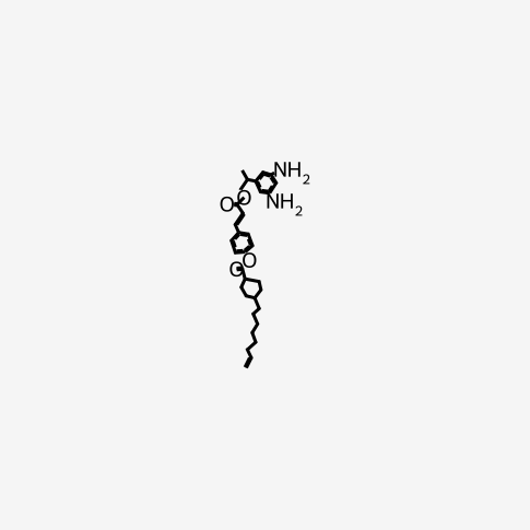 C=CCCCCCCC1CCC(C(=O)Oc2ccc(/C=C/C(=O)OCC(C)c3cc(N)cc(N)c3)cc2)CC1